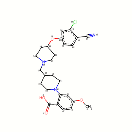 COc1ccc(C(=O)O)c(N2CCC(CN3CCC(Oc4ccc(C#N)c(Cl)c4)CC3)CC2)c1